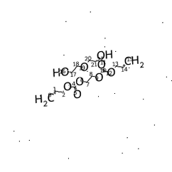 C=CCOC(=O)OCCOC(=O)OCC=C.OCCOCCO